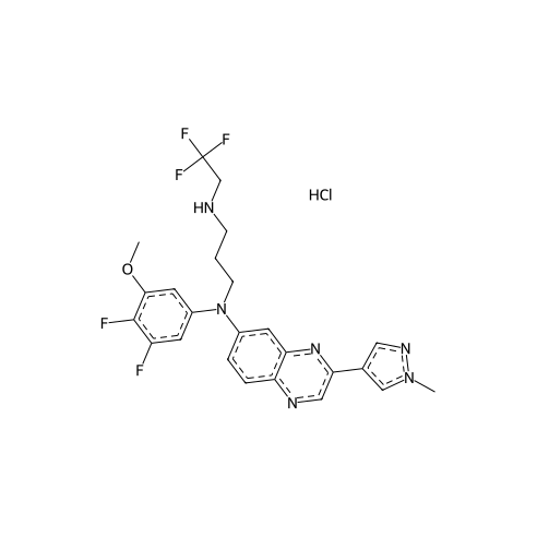 COc1cc(N(CCCNCC(F)(F)F)c2ccc3ncc(-c4cnn(C)c4)nc3c2)cc(F)c1F.Cl